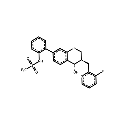 O=S(=O)(Nc1ccccc1-c1ccc2c(c1)OC[C@@H](Cc1ncccc1F)[C@@H]2O)C(F)(F)F